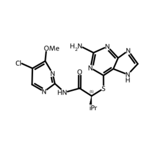 COc1nc(NC(=O)[C@@H](Sc2nc(N)nc3nc[nH]c23)C(C)C)ncc1Cl